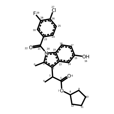 Cc1c(C(C)C(=O)OC2CCCC2)c2cc(O)ccc2n1C(=O)c1ccc(Cl)c(F)c1